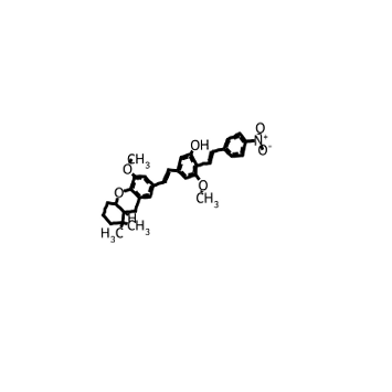 COc1cc(/C=C/c2cc3c(c(OC)c2)OC2CCCC(C)(C)[C@H]2C3)cc(O)c1/C=C/c1ccc([N+](=O)[O-])cc1